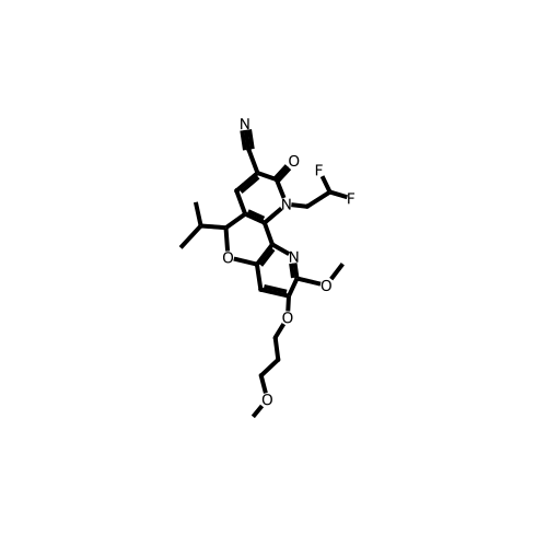 COCCCOc1cc2c(nc1OC)-c1c(cc(C#N)c(=O)n1CC(F)F)C(C(C)C)O2